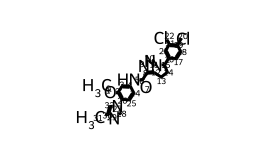 COc1cc(NC(=O)c2nnn3c2CCC3c2ccc(Cl)c(Cl)c2)ccc1-n1cnc(C)c1